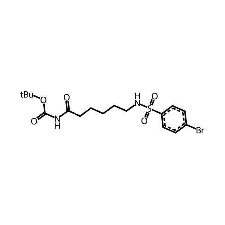 CC(C)(C)OC(=O)NC(=O)CCCCCNS(=O)(=O)c1ccc(Br)cc1